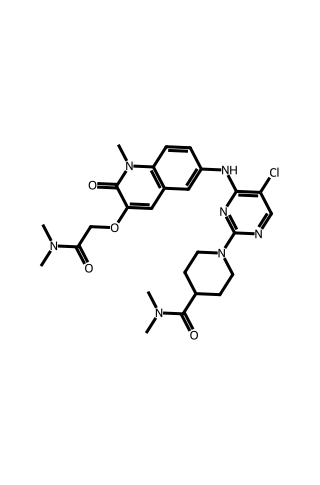 CN(C)C(=O)COc1cc2cc(Nc3nc(N4CCC(C(=O)N(C)C)CC4)ncc3Cl)ccc2n(C)c1=O